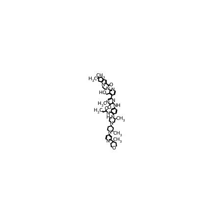 C=CC(=O)Nc1cc(Nc2nc(-c3ccnc(N4CCn5c(cc6c5CC(C)(C)C6)C4=O)c3CO)cn(C)c2=O)ccc1N1CCN(C2CCN(c3ccnc(C4(C)CCOCC4)c3)[C@@H](C)C2)C[C@@H]1C